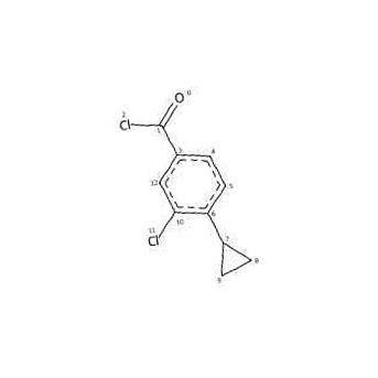 O=C(Cl)c1ccc(C2CC2)c(Cl)c1